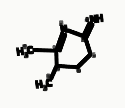 CC1=NC(=N)CCC1C